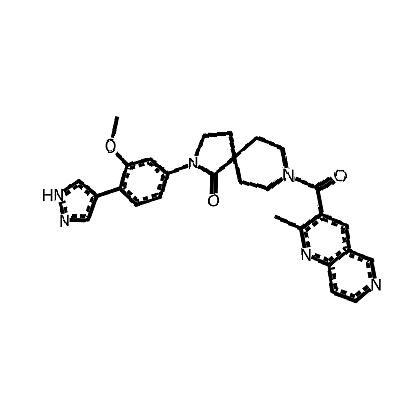 COc1cc(N2CCC3(CCN(C(=O)c4cc5cnccc5nc4C)CC3)C2=O)ccc1-c1cn[nH]c1